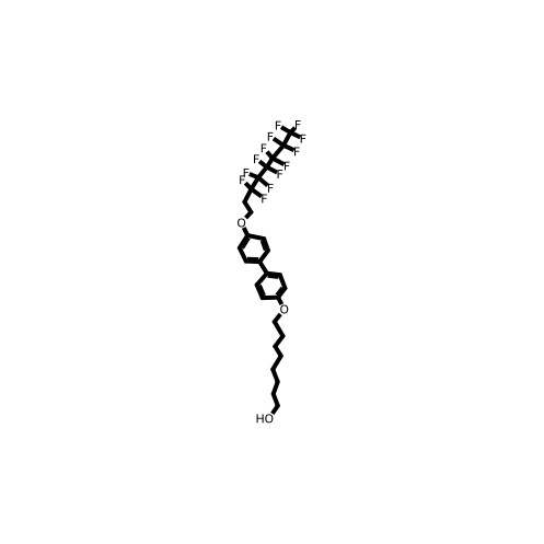 OCCCCCCCCOc1ccc(-c2ccc(OCCC(F)(F)C(F)(F)C(F)(F)C(F)(F)C(F)(F)C(F)(F)F)cc2)cc1